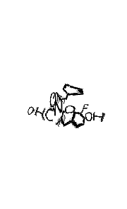 C[C@H](Cc1ccc(O)c(F)c1)C(=O)N1C(C=O)OC[C@H]1Cc1ccccc1